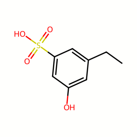 CCc1cc(O)cc(S(=O)(=O)O)c1